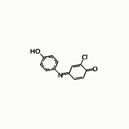 O=C1C=CC(=Nc2ccc(O)cc2)C=C1Cl